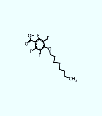 CCCCCCCCOc1c(F)c(F)c(C(=O)O)c(F)c1F